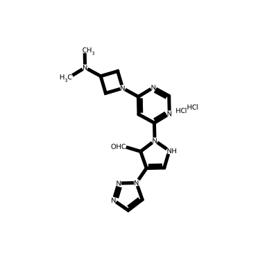 CN(C)C1CN(c2cc(N3NC=C(n4ccnn4)C3C=O)ncn2)C1.Cl.Cl